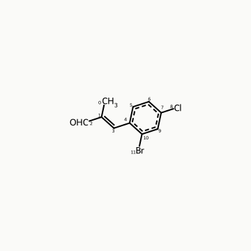 CC(C=O)=Cc1ccc(Cl)cc1Br